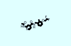 CC(=O)Nc1cc(C(=O)NCc2cccc(OCC(F)F)c2C)ccn1